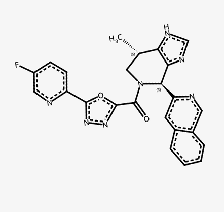 C[C@H]1CN(C(=O)c2nnc(-c3ccc(F)cn3)o2)[C@H](c2cc3ccccc3cn2)c2nc[nH]c21